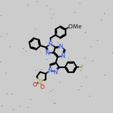 COc1ccc(Cn2c(-c3ccccc3)nc3c(-c4cn(C5CCS(=O)(=O)C5)nc4-c4ccc(F)cc4)ncnc32)cc1